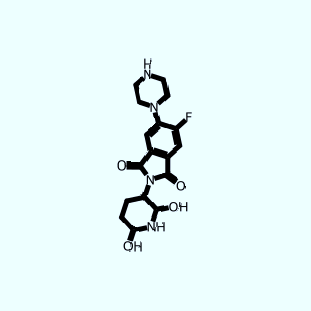 O=C1c2cc(F)c(N3CCNCC3)cc2C(=O)N1C1CCC(O)NC1O